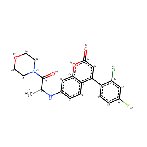 C[C@@H](Nc1ccc2c(-c3ccc(F)cc3Cl)cc(=O)oc2c1)C(=O)N1CCOCC1